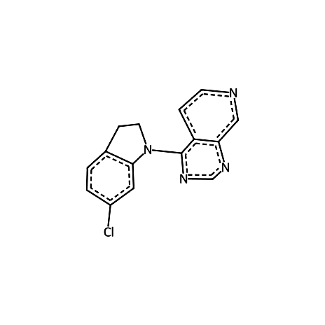 Clc1ccc2c(c1)N(c1ncnc3cnccc13)CC2